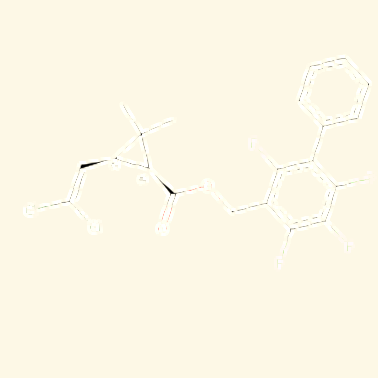 CC1(C)[C@H](C=C(Cl)Cl)[C@@H]1C(=O)OCc1c(F)c(F)c(F)c(-c2ccccc2)c1F